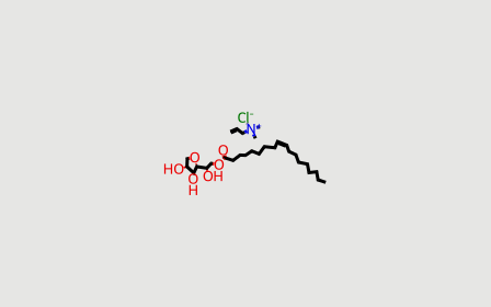 C=CC[N+](C)(C)C.CCCCCCCC/C=C\CCCCCCCC(=O)OC[C@@H](O)[C@H]1OC[C@H](O)[C@H]1O.[Cl-]